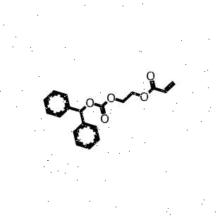 C=CC(=O)OCCOC(=O)OC(c1ccccc1)c1ccccc1